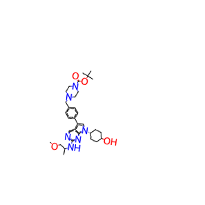 COCC(C)Nc1ncc2c(-c3ccc(CN4CCN(C(=O)OC(C)(C)C)CC4)cc3)cn([C@H]3CC[C@H](O)CC3)c2n1